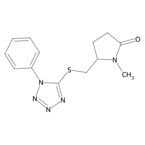 CN1C(=O)CCC1CSc1nnnn1-c1ccccc1